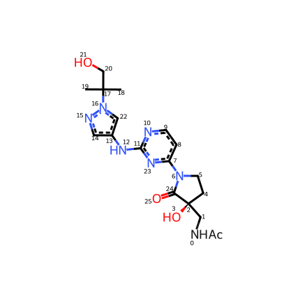 CC(=O)NC[C@@]1(O)CCN(c2ccnc(Nc3cnn(C(C)(C)CO)c3)n2)C1=O